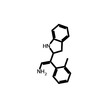 Cc1ccccc1/C(=C\N)C1Cc2ccccc2N1